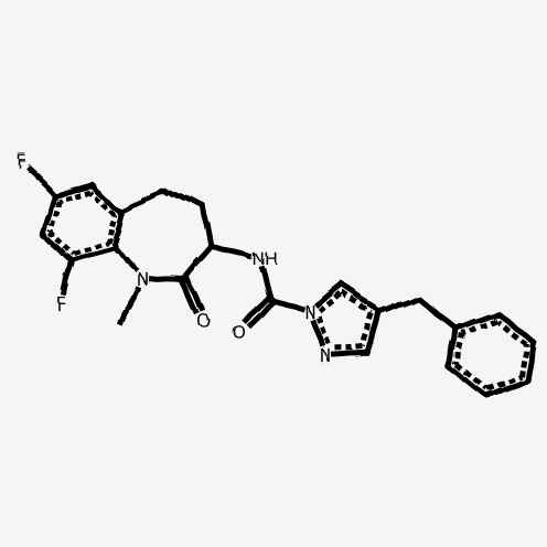 CN1C(=O)C(NC(=O)n2cc(Cc3ccccc3)cn2)CCc2cc(F)cc(F)c21